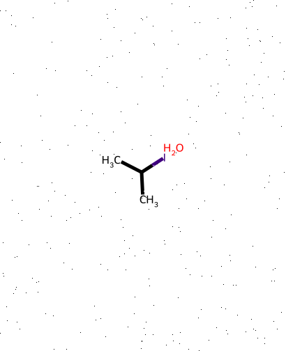 CC(C)I.O